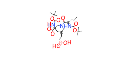 CCC[C@H](NC(=O)OC(C)(C)C)C(=O)N1C[C@@H](CCB(O)O)C[C@](NC(=O)OC(C)(C)C)(C(=O)O)C1